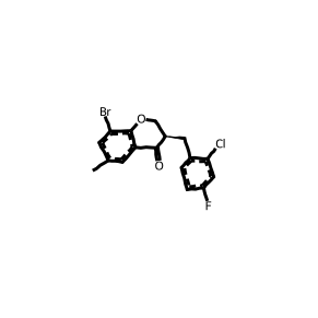 Cc1cc(Br)c2c(c1)C(=O)[C@H](Cc1ccc(F)cc1Cl)CO2